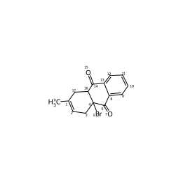 CC1=CCC2(Br)C(=O)c3ccccc3C(=O)C2C1